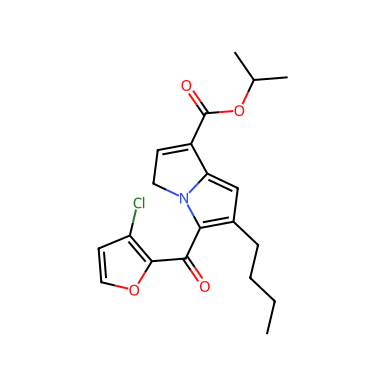 CCCCc1cc2n(c1C(=O)c1occc1Cl)CC=C2C(=O)OC(C)C